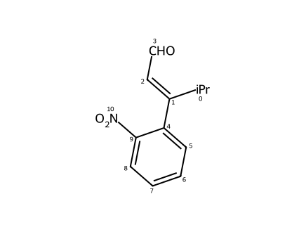 CC(C)C(=CC=O)c1ccccc1[N+](=O)[O-]